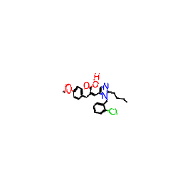 CCCCc1ncc(C=C(Cc2ccc(OC)cc2)C(=O)O)n1Cc1ccccc1Cl